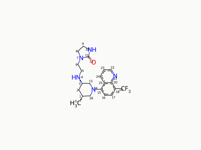 C[C@H]1C[C@@H](NCCN2CCNC2=O)CN(c2ccc(C(F)(F)F)c3ncccc23)C1